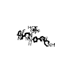 Fc1cnc(Nc2ccc(-c3ccc4nc5c(n4c3)CCNC5)cc2)nc1-c1cnc2cccnn12.O=C(O)C(F)(F)F